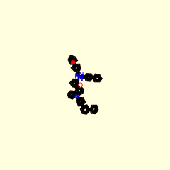 C1=CC2C(c3ccccc3N2c2ccc(-c3cccc(-c4ccccc4)c3)cc2)c2c1oc1c(-c3nc(-c4ccc(-c5ccccc5)cc4)nc(-c4ccc(-c5ccccc5)cc4)n3)cccc21